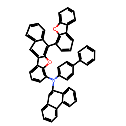 c1ccc(-c2ccc(N(c3cc4ccccc4c4ccccc34)c3cccc4c3oc3c(-c5cccc6c5oc5ccccc56)c5ccccc5cc34)cc2)cc1